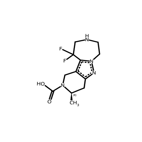 C[C@@H]1Cc2nn3c(c2CN1C(=O)O)C(F)(F)CNCC3